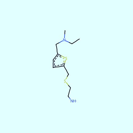 CCN(C)Cc1ccc(CSCC[NH])s1